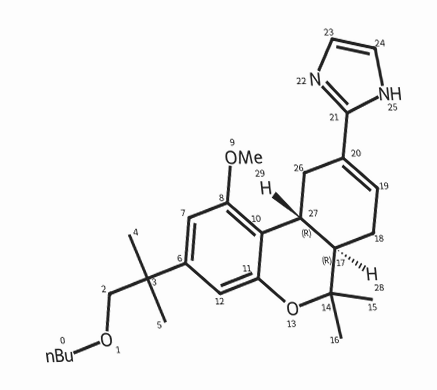 CCCCOCC(C)(C)c1cc(OC)c2c(c1)OC(C)(C)[C@@H]1CC=C(c3ncc[nH]3)C[C@@H]21